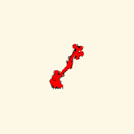 CC(=O)O[C@H]1C(=O)[C@@]2(C)[C@H]([C@H](OC(=O)c3ccccc3)[C@]3(O)C[C@H](OC(=O)[C@H](OC(=O)CCC(=O)NCCOCCOCCn4nnc5c4CC[C@H]4[C@@H](CC5)[C@H]4COC(=O)NCCCCOc4cc(CN(Cc5ccccn5)Cc5ccccn5)cc(CN(Cc5ccccn5)Cc5ccccn5)c4)[C@@H](NC(=O)c4ccccc4)c4ccccc4)C(C)=C1C3(C)C)[C@]1(OC(C)=O)CO[C@@H]1C[C@@H]2O